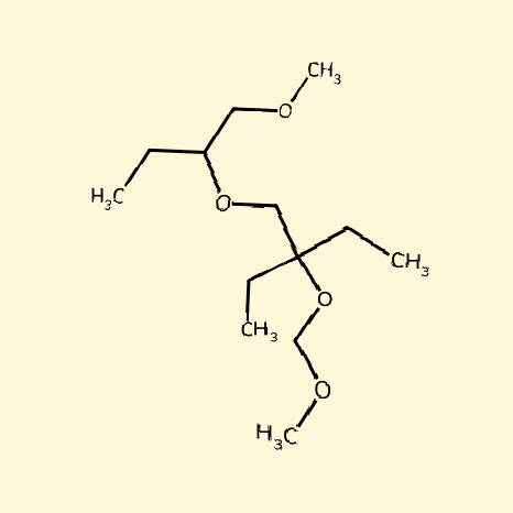 CCC(COC)OCC(CC)(CC)OCOC